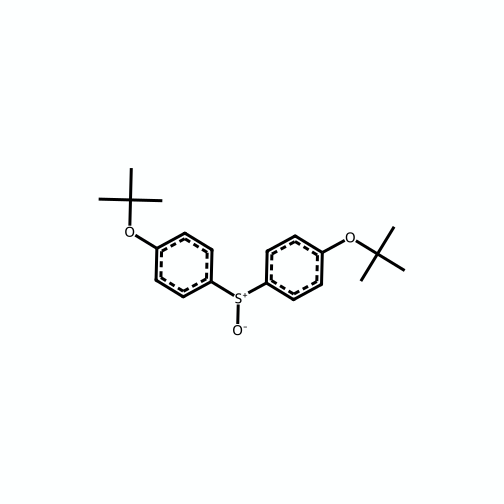 CC(C)(C)Oc1ccc([S+]([O-])c2ccc(OC(C)(C)C)cc2)cc1